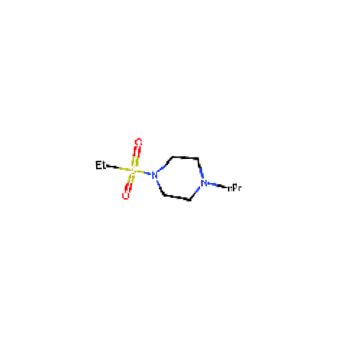 C[CH]CN1CCN(S(=O)(=O)CC)CC1